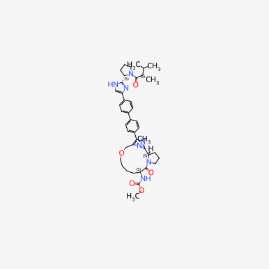 COC(=O)N[C@H]1CCCCOCc2c(-c3ccc(-c4ccc(-c5c[nH]c([C@@H]6CCCN6C(=O)[C@@H](C)C(C)C)n5)cc4)cc3)nc(n2C)[C@@H]2CCCN2C1=O